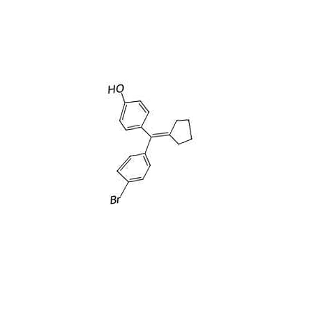 Oc1ccc(C(=C2CCCC2)c2ccc(Br)cc2)cc1